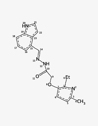 CCc1nc(C)ccc1OCC(=O)NN=Cc1cccc2[nH]ccc12